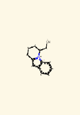 N#CCC1CCCc2cc3ccccc3n21